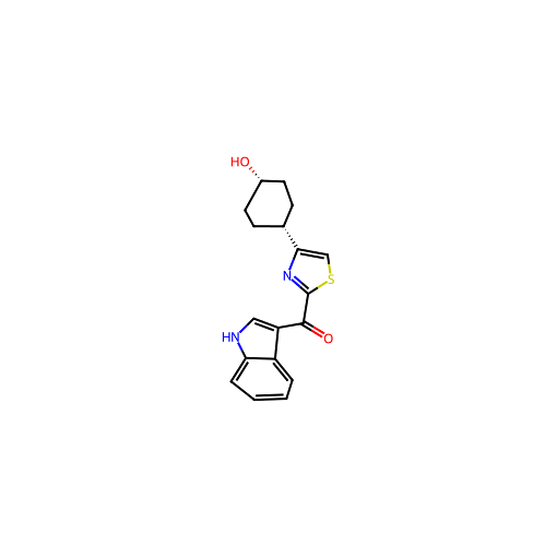 O=C(c1nc([C@H]2CC[C@@H](O)CC2)cs1)c1c[nH]c2ccccc12